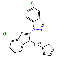 C1=CC[C]([Hf+2][CH]2C(n3ncc4ccccc43)=Cc3ccccc32)=C1.[Cl-].[Cl-]